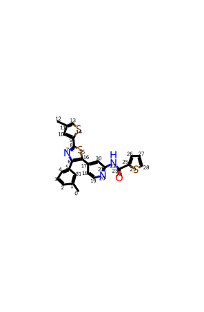 Cc1cccc(-c2nc(-c3cc(C)cs3)sc2-c2ccnc(NC(=O)c3cccs3)c2)c1